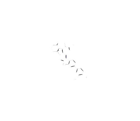 COc1cc(-c2ccc3c(c2)NC(=O)/C3=C\c2[nH]c3c(c2C(C)C(=O)O)C(=O)CCC3)ccc1O